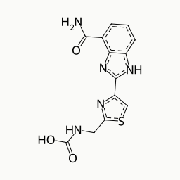 NC(=O)c1cccc2[nH]c(-c3csc(CNC(=O)O)n3)nc12